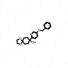 OC1(c2ccc(OCc3ccccc3)cn2)CCC2(CC1)OCCO2